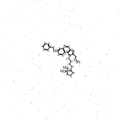 CCOCc1nc2cnc3cc(OCc4ccccc4)ccc3c2n1CCCCN1CCCS1(O)O